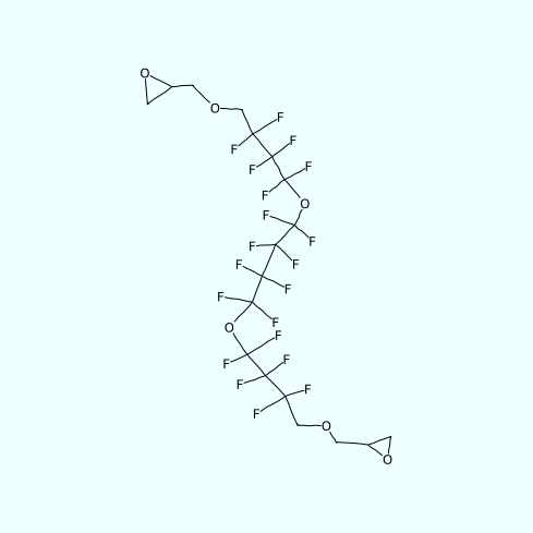 FC(F)(COCC1CO1)C(F)(F)C(F)(F)OC(F)(F)C(F)(F)C(F)(F)C(F)(F)OC(F)(F)C(F)(F)C(F)(F)COCC1CO1